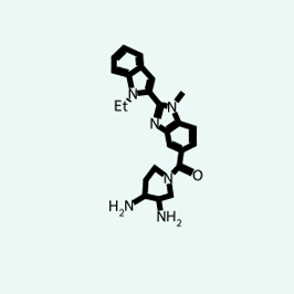 CCn1c(-c2nc3cc(C(=O)N4CCC(N)C(N)C4)ccc3n2C)cc2ccccc21